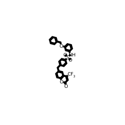 O=c1cc(C(F)(F)F)c2cc(Cc3ccc(S(=O)(=O)Nc4cccc(OCc5ccccc5)c4)cc3)ccc2o1